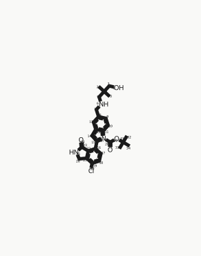 CC(C)(CO)CNCc1ccc2c(c1)cc(-c1ccc(Cl)c3c1C(=O)NC3)n2C(=O)OC(C)(C)C